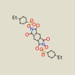 CCc1ccc(S(=O)(=O)On2c(=O)c3cc4c(=O)n(OS(=O)(=O)c5ccc(CC)cc5)c(=O)c4cc3c2=O)cc1